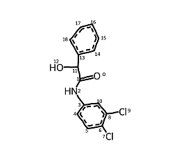 O=C(Nc1ccc(Cl)c(Cl)c1)C(O)c1ccccc1